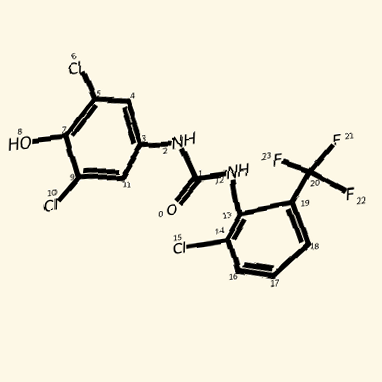 O=C(Nc1cc(Cl)c(O)c(Cl)c1)Nc1c(Cl)cccc1C(F)(F)F